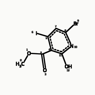 COC(=O)c1c(I)cc(Br)nc1O